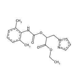 CCOC(=O)C(Cn1cccn1)OC(=O)Nc1c(C)cccc1C